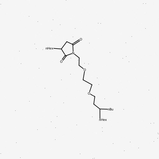 CCCCCCC(CCCC)CCOCCOCCN1C(=O)CC(CCCCCC)C1=O